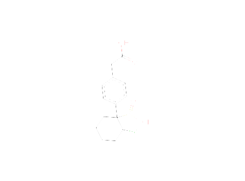 O=C(O)Cc1ccc(C2(S(=O)O)CCCCC2Cl)cc1